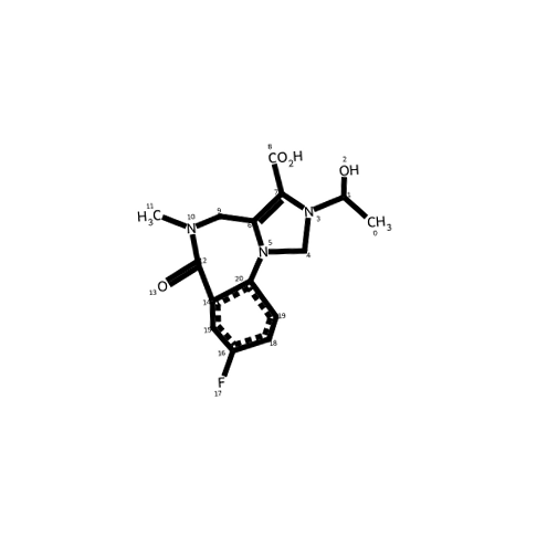 CC(O)N1CN2C(=C1C(=O)O)CN(C)C(=O)c1cc(F)ccc12